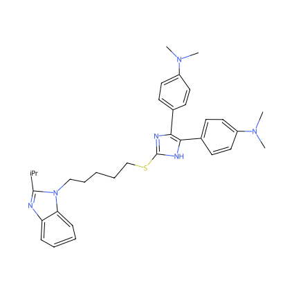 CC(C)c1nc2ccccc2n1CCCCCSc1nc(-c2ccc(N(C)C)cc2)c(-c2ccc(N(C)C)cc2)[nH]1